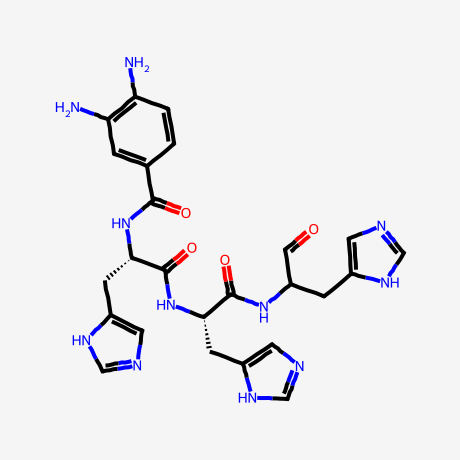 Nc1ccc(C(=O)N[C@@H](Cc2cnc[nH]2)C(=O)N[C@@H](Cc2cnc[nH]2)C(=O)NC(C=O)Cc2cnc[nH]2)cc1N